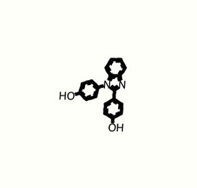 Oc1ccc(-c2nc3ccccc3n2-c2ccc(O)cc2)cc1